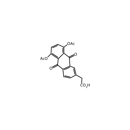 CC(=O)Oc1ccc(OC(C)=O)c2c1C(=O)c1ccc(CC(=O)O)cc1C2=O